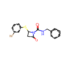 O=C1CC(Sc2cccc(Br)c2)N1C(=O)NCc1ccccc1